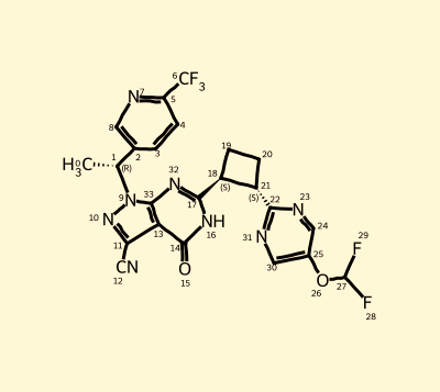 C[C@H](c1ccc(C(F)(F)F)nc1)n1nc(C#N)c2c(=O)[nH]c([C@H]3CC[C@@H]3c3ncc(OC(F)F)cn3)nc21